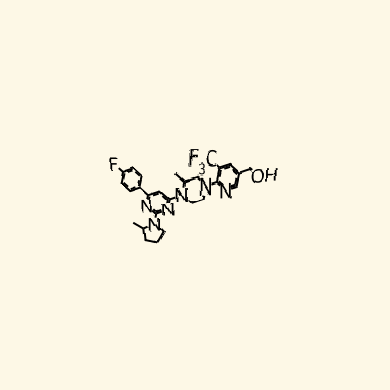 CC1CN(c2ncc(CO)cc2C(F)(F)F)CCN1c1cc(-c2ccc(F)cc2)nc(N2CCCC2C)n1